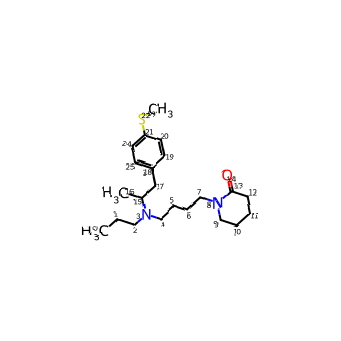 CCCN(CCCCN1CCCCC1=O)C(C)Cc1ccc(SC)cc1